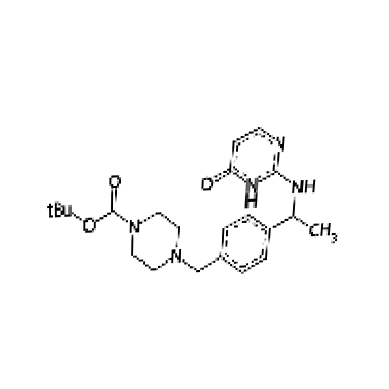 CC(Nc1nccc(=O)[nH]1)c1ccc(CN2CCN(C(=O)OC(C)(C)C)CC2)cc1